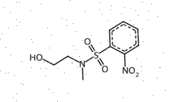 CN(CCO)S(=O)(=O)c1ccccc1[N+](=O)[O-]